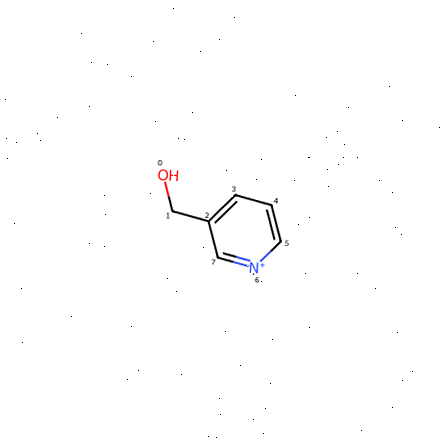 OCC1=CC=C[N+]=C1